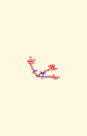 COC(OCCOCCOCCNC(=O)CCOCC(C)(COCCC(=O)NCCOCCOCCOC(O)C(O)C(O)C(C)O)COCCC(=O)NCCOCCOCCOC(OC)[C@H](O)CO)C(O)C(O)C(C)O